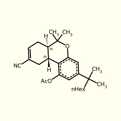 CCCCCCC(C)(C)c1cc(OC(C)=O)c2c(c1)OC(C)(C)[C@@H]1CC=C(C#N)C[C@@H]21